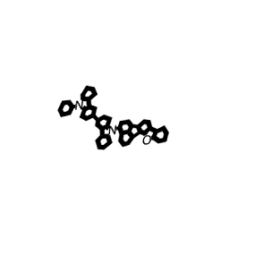 c1ccc(-n2c3ccccc3c3cc(-c4ccc5c(c4)c4ccccc4n5-c4ccc5c6c(cccc46)-c4c-5ccc5c4oc4ccccc45)ccc32)cc1